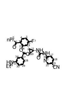 CCCC(=O)c1ccc(F)c([C@H]2C[C@H]2NC(=O)Nc2ccc(C#N)cn2)c1OC(=O)c1cccc(NCC)c1